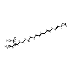 CCC=CCC=CCC=CCCCCCCCC=C(CC)C(=O)O